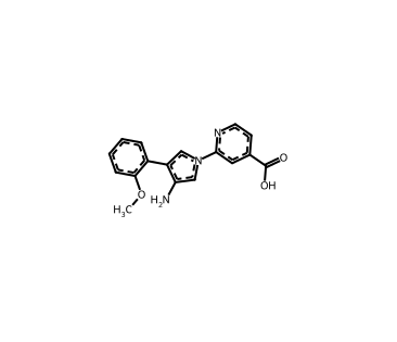 COc1ccccc1-c1cn(-c2cc(C(=O)O)ccn2)cc1N